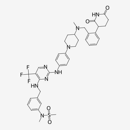 CN(Cc1ccccc1C1CCC(=O)NC1=O)C1CCN(c2ccc(Nc3ncc(C(F)(F)F)c(NCc4cccc(N(C)S(C)(=O)=O)c4)n3)cc2)CC1